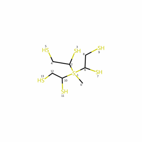 CS(C(S)CS)(C(S)CS)C(S)CS